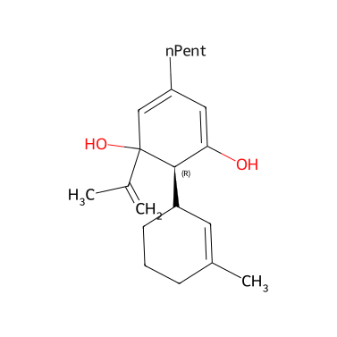 C=C(C)C1(O)C=C(CCCCC)C=C(O)[C@H]1C1C=C(C)CCC1